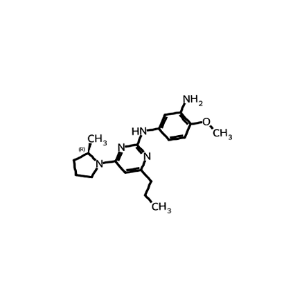 CCCc1cc(N2CCC[C@H]2C)nc(Nc2ccc(OC)c(N)c2)n1